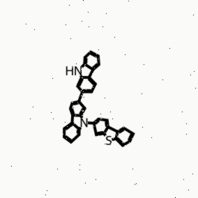 c1ccc2c(c1)[nH]c1cc(-c3ccc4c5ccccc5n(-c5ccc6c(c5)sc5ccccc56)c4c3)ccc12